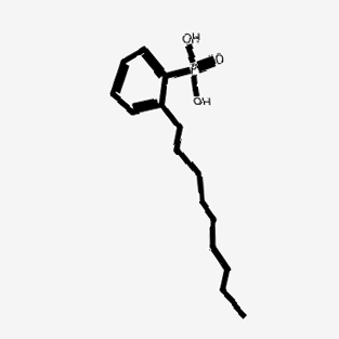 CCCCCCCCCc1ccccc1P(=O)(O)O